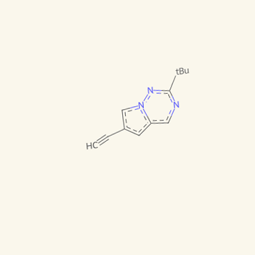 C#Cc1cc2cnc(C(C)(C)C)nn2c1